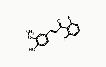 COc1cc(/C=C/C(=O)c2c(F)cccc2F)ccc1O